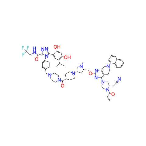 C=CC(=O)N1CCN(c2nc(OC[C@@H]3C[C@H](N4CCC(C(=O)N5CCN(Cc6ccc(-n7c(C(=O)NCC(F)(F)F)nnc7-c7cc(C(C)C)c(O)cc7O)cc6)CC5)CC4)CN3C)nc3c2CCN(c2cccc4ccccc24)C3)C[C@@H]1CC#N